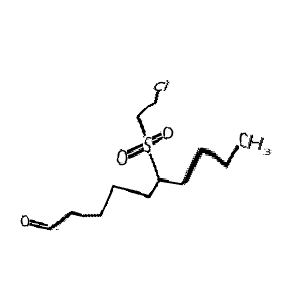 CCCCC(CCCC[C]=O)S(=O)(=O)CCCl